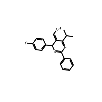 CC(C)C1=NC(c2ccccc2)=NC(c2ccc(F)cc2)C1=CO